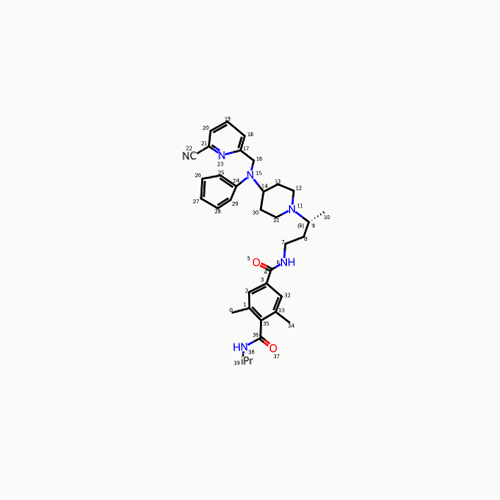 Cc1cc(C(=O)NCC[C@@H](C)N2CCC(N(Cc3cccc(C#N)n3)c3ccccc3)CC2)cc(C)c1C(=O)NC(C)C